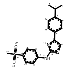 CC(C)c1ccc(-c2csc(Nc3ccc(S(C)(=O)=O)cc3)n2)cc1